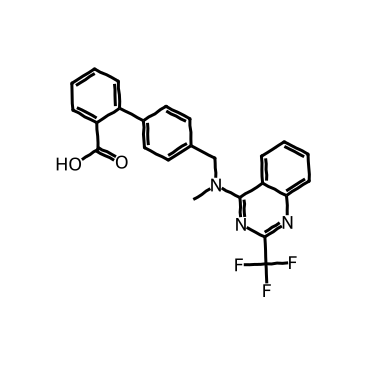 CN(Cc1ccc(-c2ccccc2C(=O)O)cc1)c1nc(C(F)(F)F)nc2ccccc12